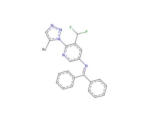 CC(=O)c1cnnn1-c1ncc(N=C(c2ccccc2)c2ccccc2)cc1C(F)F